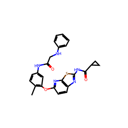 Cc1ccc(NC(=O)CNc2ccccc2)cc1Oc1ccc2nc(NC(=O)C3CC3)sc2n1